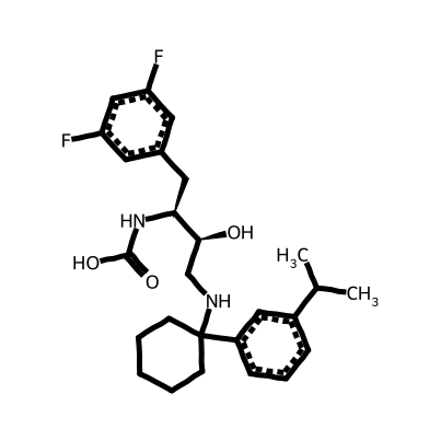 CC(C)c1cccc(C2(NC[C@H](O)[C@H](Cc3cc(F)cc(F)c3)NC(=O)O)CCCCC2)c1